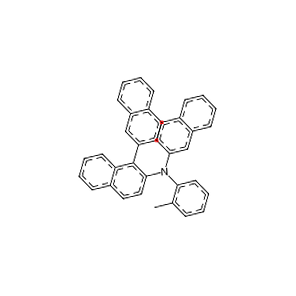 Cc1ccccc1N(c1ccc2ccccc2c1)c1ccc2ccccc2c1-c1ccc2ccccc2c1